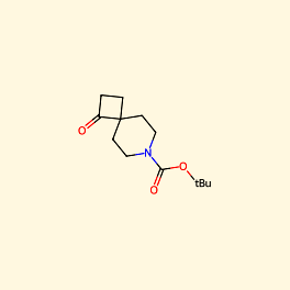 CC(C)(C)OC(=O)N1CCC2(CCC2=O)CC1